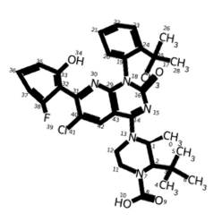 C[C@H]1C(C(C)(C)C)N(C(=O)O)CCN1c1nc(=O)n(-c2ccccc2C(C)(C)C)c2nc(-c3c(O)cccc3F)c(Cl)cc12